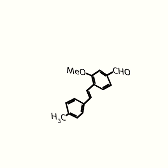 COc1cc(C=O)ccc1/C=C/c1ccc(C)cc1